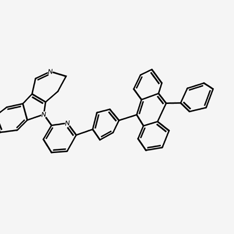 C1=NCCc2c1c1ccccc1n2-c1cccc(-c2ccc(-c3c4ccccc4c(-c4ccccc4)c4ccccc34)cc2)n1